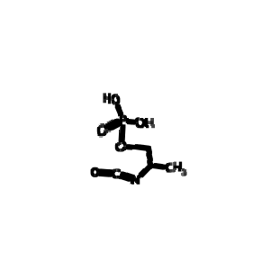 CC(COP(=O)(O)O)N=C=O